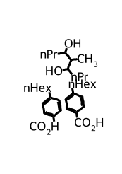 CCCC(O)C(C)C(O)CCC.CCCCCCc1ccc(C(=O)O)cc1.CCCCCCc1ccc(C(=O)O)cc1